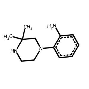 CC1(C)CN(c2ccccc2N)CCN1